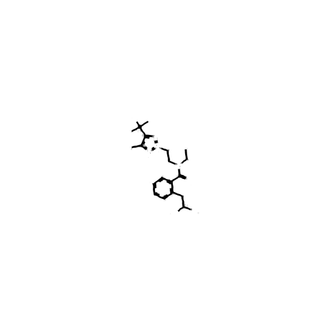 CCN(CCn1nc(C)c(C(C)(C)O)n1)C(=O)c1ccccc1CC(F)F